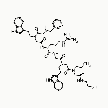 C=C(N)NCCCC(NC(=O)CN(CCc1c[nH]c2ccccc12)C(=O)CNCc1cccnc1)C(=O)NCC(=O)N(CCc1c[nH]c2ccccc12)CC(=O)N(CCC)CC(=O)NCCS